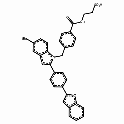 CC(C)(C)c1ccc2c(c1)nc(-c1ccc(-c3cc4ccccc4o3)cc1)n2Cc1ccc(C(=O)NCCS(=O)(=O)O)cc1